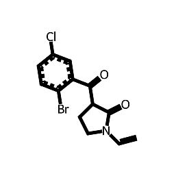 C=CN1CCC(C(=O)c2cc(Cl)ccc2Br)C1=O